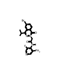 CC(C)c1nn(CC(=O)N(I)c2c(F)cncc2P)c(=O)c2ccc(Br)cc12